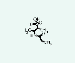 C=CC(=O)NC(C)C(C)S(=O)(=O)O